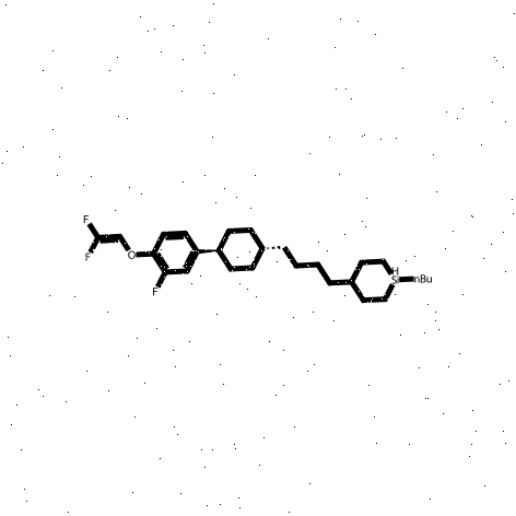 CCCC[SiH]1CCC(CCCC[C@H]2CC[C@H](c3ccc(OC=C(F)F)c(F)c3)CC2)CC1